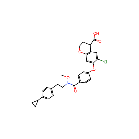 CON(CCc1ccc(C2CC2)cc1)C(=O)c1ccc(Oc2cc3c(cc2Cl)C(C(=O)O)CCO3)cc1